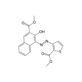 COC(=O)c1cc2ccccc2c(/N=N/c2ccsc2C(=O)OC)c1O